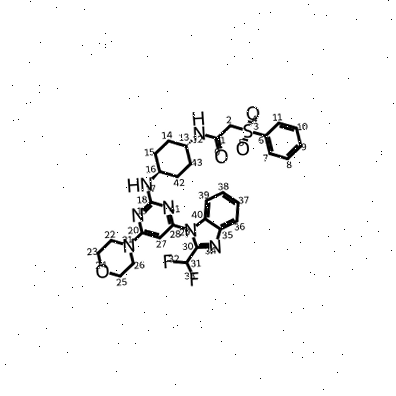 O=C(CS(=O)(=O)c1ccccc1)N[C@H]1CC[C@H](Nc2nc(N3CCOCC3)cc(-n3c(C(F)F)nc4ccccc43)n2)CC1